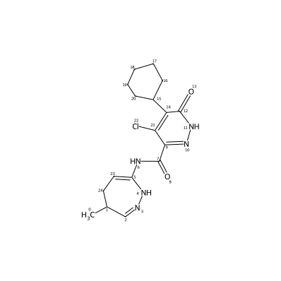 CC1C=NNC(NC(=O)c2n[nH]c(=O)c(C3CCCCC3)c2Cl)=CC1